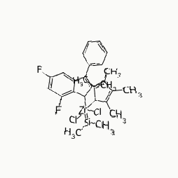 CC1=C(C)[CH]([Zr]([Cl])([Cl])([CH]2C(C)=C(c3ccccc3)c3cc(F)cc(F)c32)=[Si](C)C)C(C)=C1C